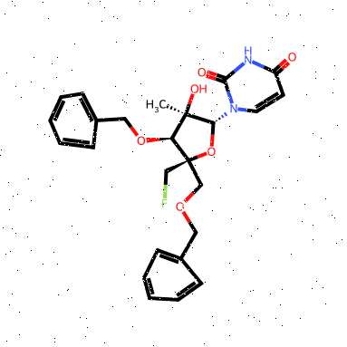 C[C@@]1(O)[C@H](OCc2ccccc2)[C@@](CF)(COCc2ccccc2)O[C@H]1n1ccc(=O)[nH]c1=O